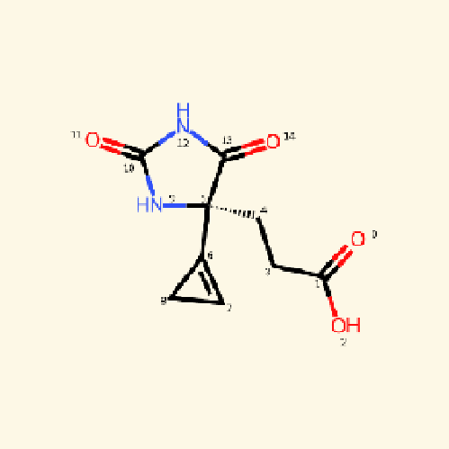 O=C(O)CC[C@]1(C2=CC2)NC(=O)NC1=O